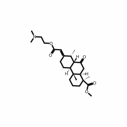 COC(=O)[C@@]1(C)CCC[C@@]2(C)[C@H]1CC(=O)[C@H]1[C@@H](C)/C(=C/C(=O)OCCN(C)C)CC[C@@H]12